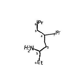 CCC(N)CC(CC(C)C)C(C)C